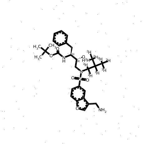 [2H]C([2H])([2H])C([2H])(C([2H])([2H])[2H])C([2H])([2H])N(C[C@@H](O)[C@H](Cc1ccccc1)NC(=O)OC(C)(C)C)S(=O)(=O)c1ccc2occ(CN)c2c1